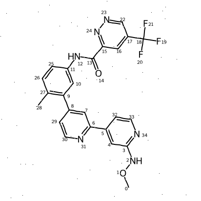 CONc1cc(-c2cc(-c3cc(NC(=O)c4cc(C(F)(F)F)cnn4)ccc3C)ccn2)ccn1